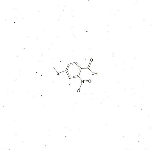 CSc1ccc(C(=O)O)c([N+](=O)[O-])c1